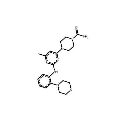 Cc1cc(N2CCN(C(N)=O)CC2)nc(Nc2ccccc2N2CCOCC2)n1